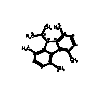 Cc1ccc(C)c2c1c1c(C)ccc(C)c1n2C(C)C